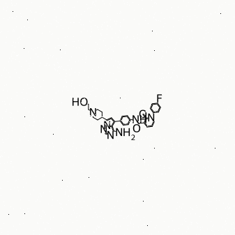 Nc1ncnn2c(C3CCN(CCO)CC3)cc(-c3ccc(NC(=O)c4cccn(-c5ccc(F)cc5)c4=O)cc3)c12